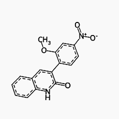 COc1cc([N+](=O)[O-])ccc1-c1cc2ccccc2[nH]c1=O